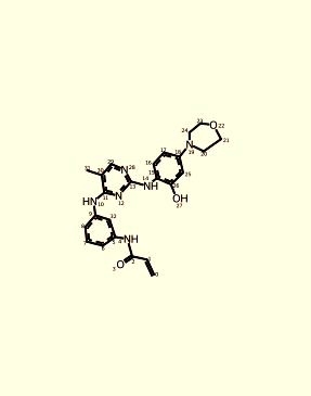 C=CC(=O)Nc1cccc(Nc2nc(Nc3ccc(N4CCOCC4)cc3O)ncc2C)c1